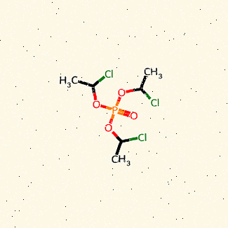 CC(Cl)OP(=O)(OC(C)Cl)OC(C)Cl